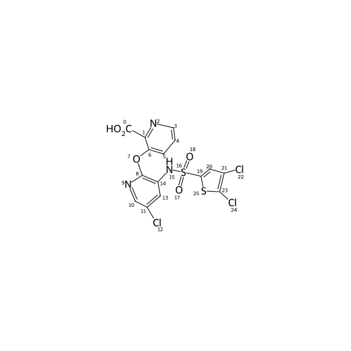 O=C(O)c1ncccc1Oc1ncc(Cl)cc1NS(=O)(=O)c1cc(Cl)c(Cl)s1